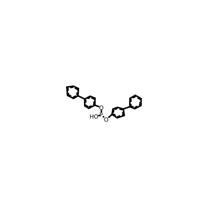 OP(Oc1ccc(-c2ccccc2)cc1)Oc1ccc(-c2ccccc2)cc1